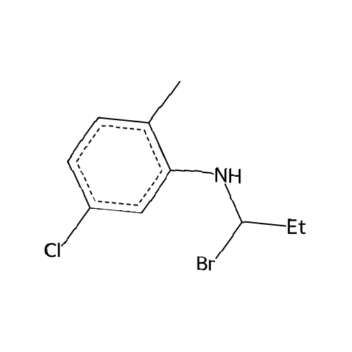 CCC(Br)Nc1cc(Cl)ccc1C